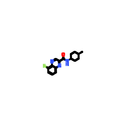 C[C@H]1CC[C@H](NC(=O)c2cnc3c(F)cccc3n2)CC1